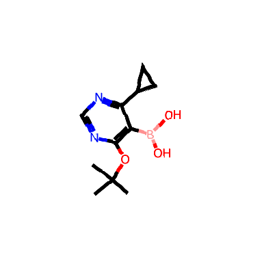 CC(C)(C)Oc1ncnc(C2CC2)c1B(O)O